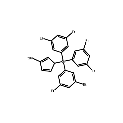 CCc1cc(CC)cc([Si]([C]2C=CC(C(C)(C)C)=C2)(c2cc(CC)cc(CC)c2)c2cc(CC)cc(CC)c2)c1